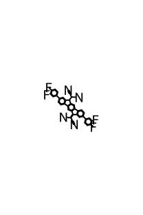 N#CC(C#N)=C1c2cc(-c3ccc(F)c(F)c3)ccc2-c2cc3c(cc21)-c1ccc(-c2ccc(F)c(F)c2)cc1C3C(C#N)C#N